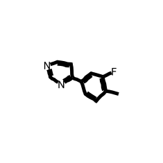 Cc1ccc(-c2ccncn2)cc1F